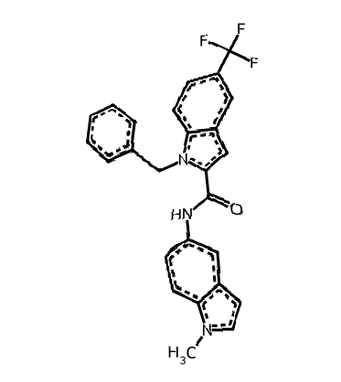 Cn1ccc2cc(NC(=O)c3cc4cc(C(F)(F)F)ccc4n3Cc3ccccc3)ccc21